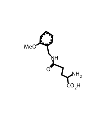 COc1ccccc1CNC(=O)CCC(N)C(=O)O